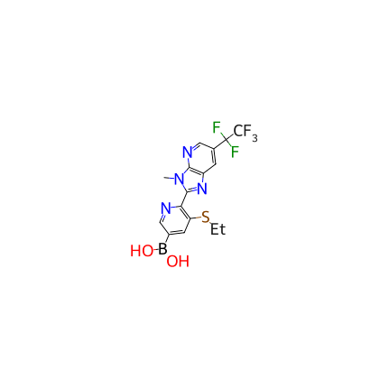 CCSc1cc(B(O)O)cnc1-c1nc2cc(C(F)(F)C(F)(F)F)cnc2n1C